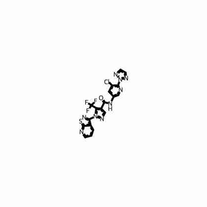 O=C(Nc1cnc(-n2nccn2)c(Cl)c1)c1cnn(-c2nsc3ncccc23)c1C(F)(F)F